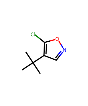 CC(C)(C)c1cnoc1Cl